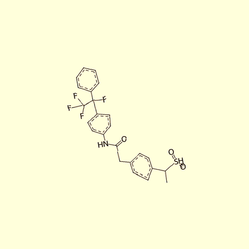 CC(c1ccc(CC(=O)Nc2ccc(C(F)(c3ccccc3)C(F)(F)F)cc2)cc1)[SH](=O)=O